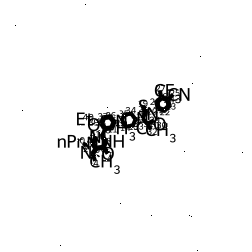 CCCc1nc(C)c2c(=O)[nH]c(-c3cc(N4CCC(N5C(=S)N(c6ccc(C#N)c(C(F)(F)F)c6)C(=O)C5(C)C)CC4)ccc3OCC)nn12